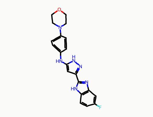 Fc1ccc2[nH]c(-c3cc(Nc4ccc(N5CCOCC5)cc4)[nH]n3)nc2c1